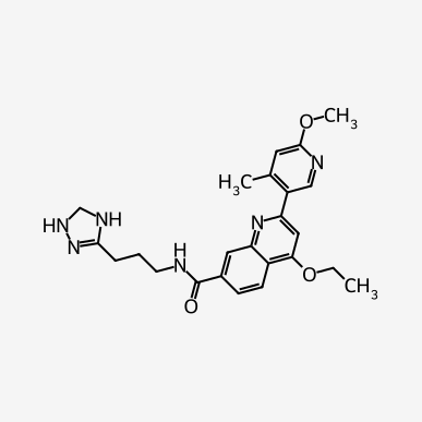 CCOc1cc(-c2cnc(OC)cc2C)nc2cc(C(=O)NCCCC3=NNCN3)ccc12